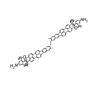 Cc1cc2cc3c(cc2cc1CCc1cc2cc4c(cc2cc1C)-c1ccc2c5ccc6c7c(ccc(c8ccc-4c1c28)c75)C(=O)N(c1c(C(C)C)cc(N)cc1C(C)C)C6=O)C1=CC=C2c4ccc5c6c(ccc(c46)C4=CC=C3C1C42)C(=O)N(c1c(C(C)C)cc(N)cc1C(C)C)C5=O